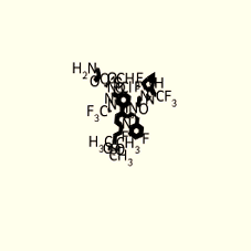 CC(C)(CCc1ccc(-c2ccc(Cl)c3c(N(COC(=O)CN)S(C)(=O)=O)nn(CC(F)(F)F)c23)c([C@H](Cc2cc(F)cc(F)c2)NC(=O)Cn2nc(C(F)(F)F)c3c2C(F)(F)C2C[C@H]32)n1)S(C)(=O)=O